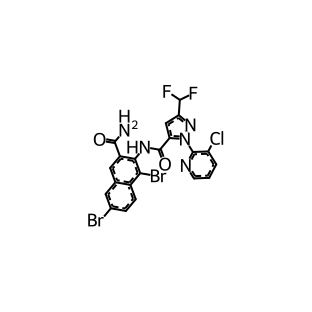 NC(=O)c1cc2cc(Br)ccc2c(Br)c1NC(=O)c1cc(C(F)F)nn1-c1ncccc1Cl